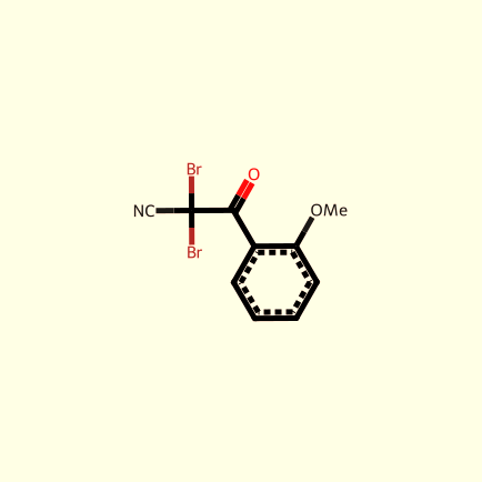 COc1ccccc1C(=O)C(Br)(Br)C#N